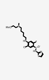 COCCN(C)CCCCCNc1cc(F)c([S+]([O-])Nc2nccs2)cc1Cl